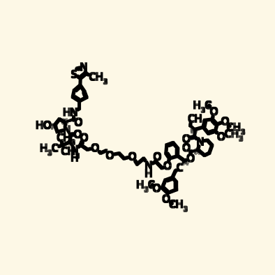 CC[C@H](C(=O)N1CCCC[C@H]1C(=O)O[C@H](CCc1ccc(OC)c(OC)c1)c1ccccc1OCC(=O)NCCOCCOCCOCC(=O)N[C@H](C(=O)N1C[C@H](O)C[C@H]1C(=O)NCc1ccc(-c2scnc2C)cc1)C(C)(C)C)c1cc(OC)c(OC)c(OC)c1